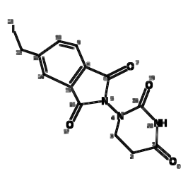 O=C1CCN(N2C(=O)c3ccc(CI)cc3C2=O)C(=O)N1